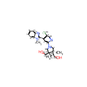 Cn1c(-c2cc(N3C[C@@](C)(CO)[C@](C)(CO)C3)ncc2Cl)nc2ccccc21